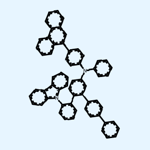 c1ccc(-c2ccc(-c3cc(N(c4ccccc4)c4ccc(-c5cc6ccccc6c6ccccc56)cc4)ccc3-c3ccccc3-n3c4ccccc4c4ccccc43)cc2)cc1